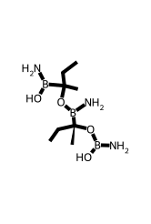 CCC(C)(OB(N)[C@@](C)(CC)OB(N)O)B(N)O